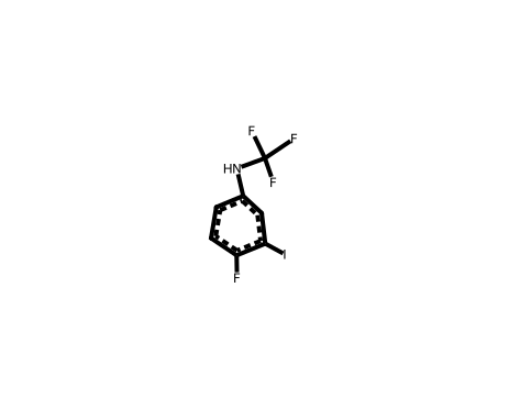 Fc1ccc(NC(F)(F)F)cc1I